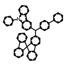 c1ccc(-c2ccc(C(c3ccc4c(c3)C3(c5ccccc5-c5ccccc53)c3ccccc3-4)c3ccc4c(c3)c3ccccc3n4-c3ccccc3)cc2)cc1